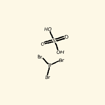 BrB(Br)Br.O=S(=O)(O)O